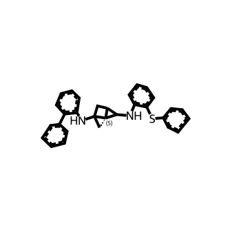 c1ccc(Sc2ccccc2NC2C3CC4(Nc5ccccc5-c5ccccc5)C[C@]324)cc1